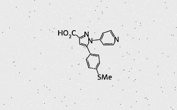 CSc1ccc(-c2cc(C(=O)O)nn2-c2ccncc2)cc1